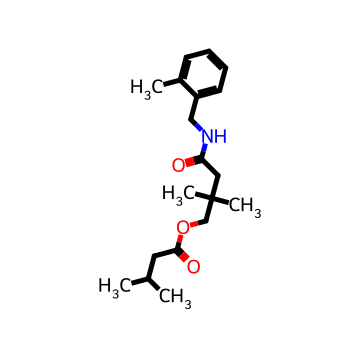 Cc1ccccc1CNC(=O)CC(C)(C)COC(=O)CC(C)C